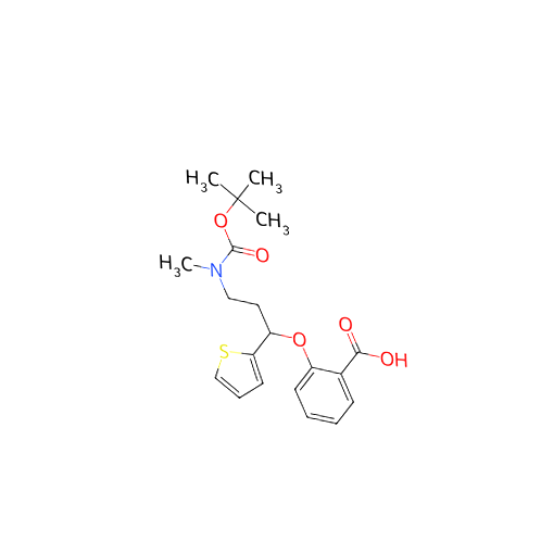 CN(CCC(Oc1ccccc1C(=O)O)c1cccs1)C(=O)OC(C)(C)C